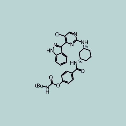 CC(C)(C)NC(=O)Oc1ccc(C(=O)N[C@H]2CCC[C@@H](Nc3ncc(Cl)c(-c4n[nH]c5ccccc45)n3)C2)cc1